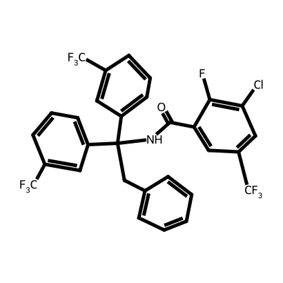 O=C(NC(Cc1ccccc1)(c1cccc(C(F)(F)F)c1)c1cccc(C(F)(F)F)c1)c1cc(C(F)(F)F)cc(Cl)c1F